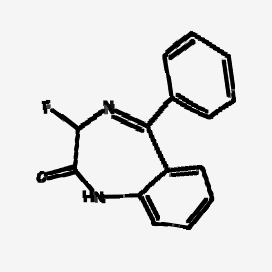 O=C1Nc2ccccc2C(c2ccccc2)=NC1F